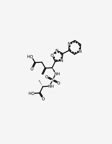 C=C(CC(=O)O)[C@H](NS(=O)(=O)N[C@@H](C)C(=O)O)c1nc(-c2cnccn2)no1